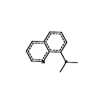 CP(C)c1cccc2cccnc12